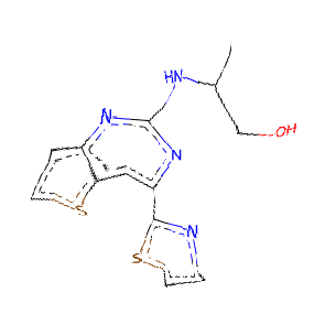 CC(CO)Nc1nc(-c2nccs2)c2sccc2n1